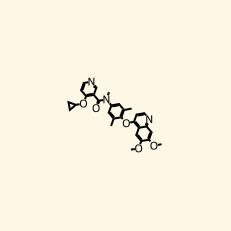 COc1cc2nccc(Oc3c(C)cc(N(C)C(=O)c4cnccc4OC4CC4)cc3C)c2cc1OC